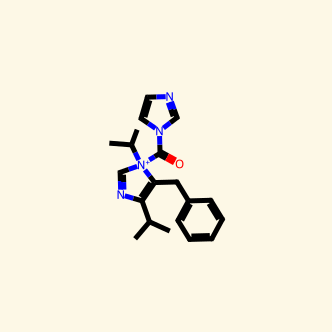 CC(C)C1=C(Cc2ccccc2)[N+](C(=O)n2ccnc2)(C(C)C)C=N1